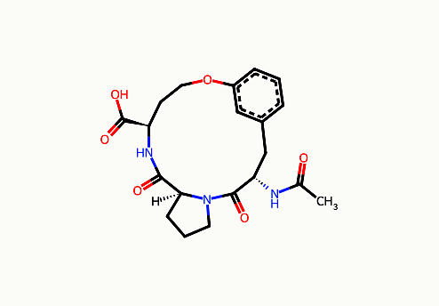 CC(=O)N[C@H]1Cc2cccc(c2)OCC[C@H](C(=O)O)NC(=O)[C@@H]2CCCN2C1=O